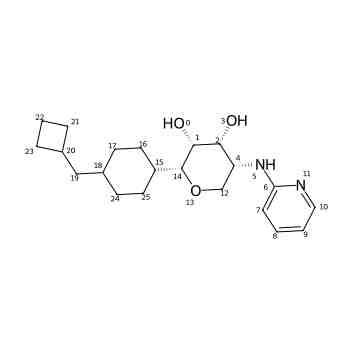 O[C@@H]1[C@H](O)[C@H](Nc2ccccn2)CO[C@@H]1C1CCC(CC2CCC2)CC1